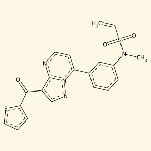 C=CS(=O)(=O)N(C)c1cccc(-c2ccnc3c(C(=O)c4cccs4)cnn23)c1